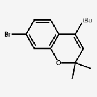 CC1(C)C=C(C(C)(C)C)c2ccc(Br)cc2O1